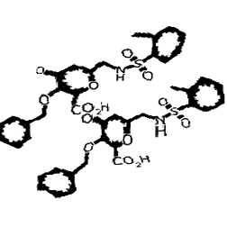 Cc1ccccc1S(=O)(=O)NCc1cc(=O)c(OCc2ccccc2)c(C(=O)O)o1.Cc1ccccc1S(=O)(=O)NCc1cc(=O)c(OCc2ccccc2)c(C(=O)O)o1